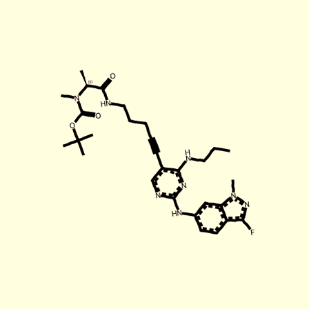 CCCNc1nc(Nc2ccc3c(F)nn(C)c3c2)ncc1C#CCCCNC(=O)[C@H](C)N(C)C(=O)OC(C)(C)C